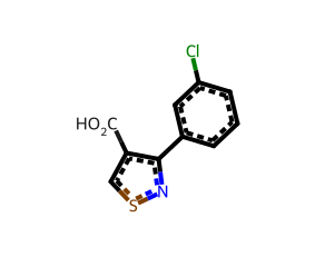 O=C(O)c1csnc1-c1cccc(Cl)c1